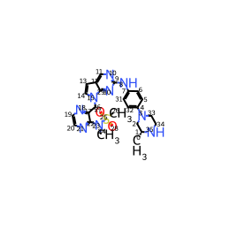 C[C@H]1CN(c2ccc(Nc3ncc4ccn(Cc5nccnc5N(C)S(C)(=O)=O)c4n3)cc2)CCN1